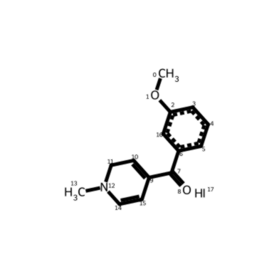 COc1cccc(C(=O)C2=CCN(C)C=C2)c1.I